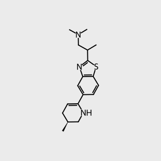 CC(CN(C)C)c1nc2cc(C3=CC[C@H](C)CN3)ccc2s1